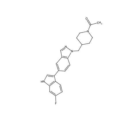 CC(=O)N1CCC(Cn2ncc3cc(-c4c[nH]c5cc(F)ccc45)ccc32)CC1